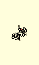 Cc1cccc(C)c1OCC(=O)N[C@@H](Cc1ccccc1)[C@@H](O)C[C@H](Cc1ccc(F)cc1)NC(=O)[C@H](C(C)C)N1CCCNC1=O